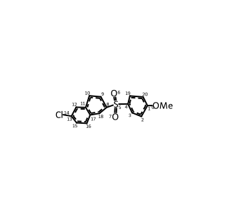 COc1ccc(S(=O)(=O)c2ccc3cc(Cl)ccc3c2)cc1